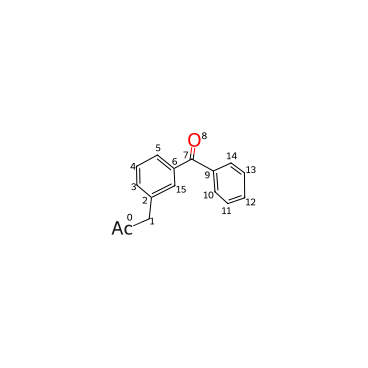 CC(=O)Cc1cccc(C(=O)c2ccccc2)c1